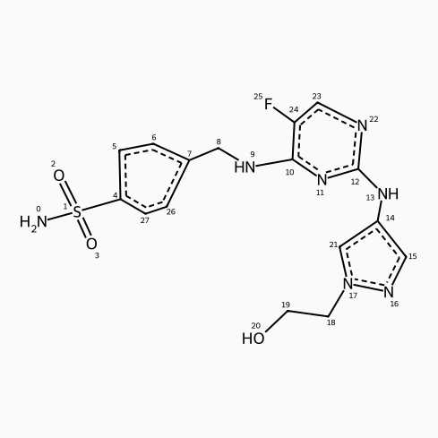 NS(=O)(=O)c1ccc(CNc2nc(Nc3cnn(CCO)c3)ncc2F)cc1